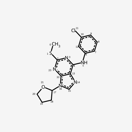 CSc1nc(Nc2cccc(Cl)c2)c2ncn(C3CCCO3)c2n1